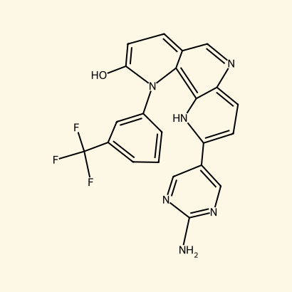 Nc1ncc(C2=CC=c3ncc4c(c3N2)N(c2cccc(C(F)(F)F)c2)C(O)=CC=4)cn1